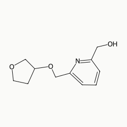 OCc1cccc(COC2CCOC2)n1